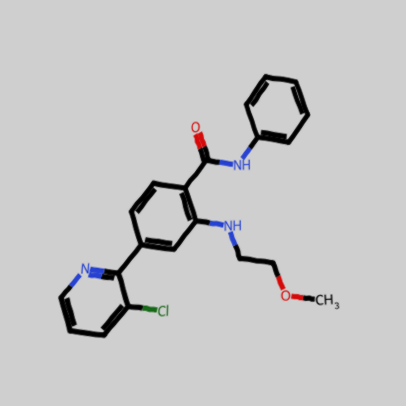 COCCNc1cc(-c2ncccc2Cl)ccc1C(=O)Nc1ccccc1